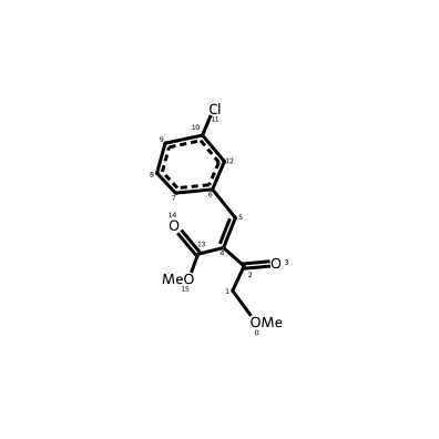 COCC(=O)C(=Cc1cccc(Cl)c1)C(=O)OC